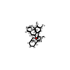 Cn1nc2c(c1-c1cc(F)c(F)c(F)c1)CC1CCCC2N1C(=O)c1ccn2cncc2c1